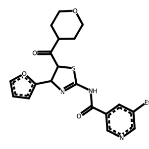 CCc1cncc(C(=O)NC2=NC(c3ccco3)C(C(=O)C3CCOCC3)S2)c1